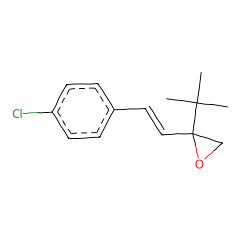 CC(C)(C)C1(/C=C/c2ccc(Cl)cc2)CO1